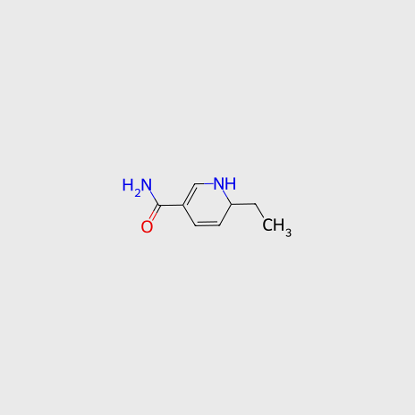 CCC1C=CC(C(N)=O)=CN1